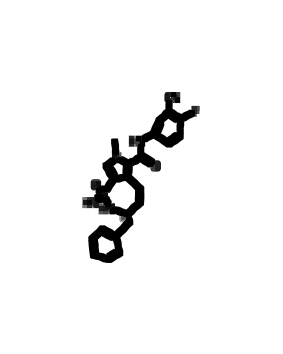 Cn1cc2c(c1C(=O)Nc1ccc(F)c(C#N)c1)C=C[C@@H](Cc1ccccc1)NS2(=N)=O